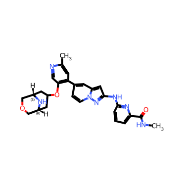 CNC(=O)c1cccc(Nc2cc3cc(-c4cc(C)ncc4OC4C[C@H]5COC[C@@H](C4)N5)ccn3n2)n1